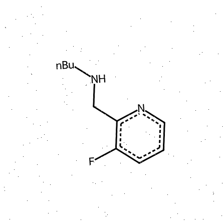 CCCCNCc1ncccc1F